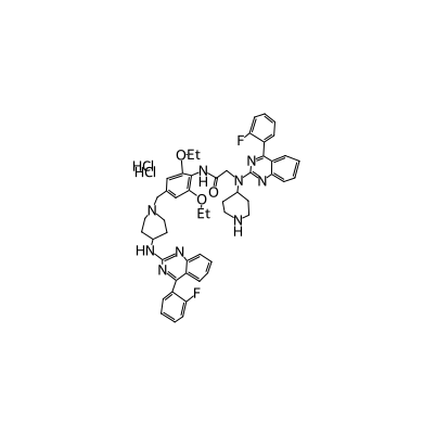 CCOc1cc(CN2CCC(Nc3nc(-c4ccccc4F)c4ccccc4n3)CC2)cc(OCC)c1NC(=O)CN(c1nc(-c2ccccc2F)c2ccccc2n1)C1CCNCC1.Cl.Cl